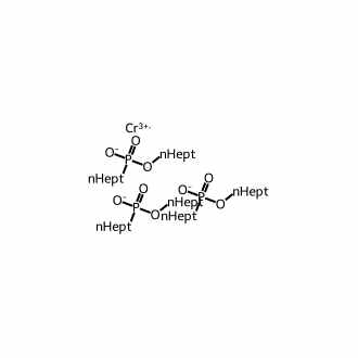 CCCCCCCOP(=O)([O-])CCCCCCC.CCCCCCCOP(=O)([O-])CCCCCCC.CCCCCCCOP(=O)([O-])CCCCCCC.[Cr+3]